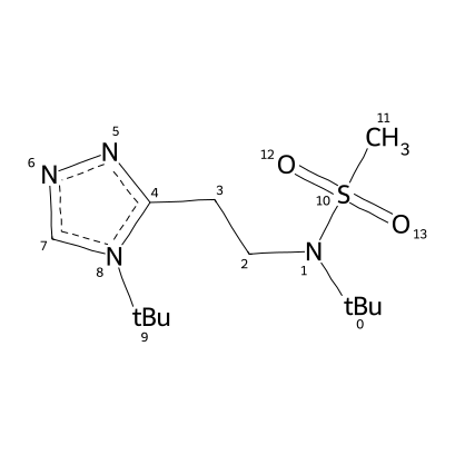 CC(C)(C)N(CCc1nncn1C(C)(C)C)S(C)(=O)=O